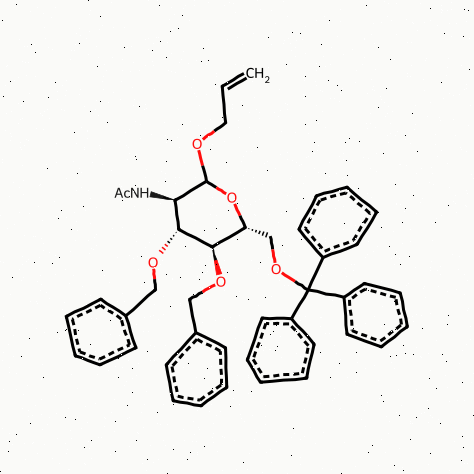 C=CCOC1O[C@H](COC(c2ccccc2)(c2ccccc2)c2ccccc2)[C@@H](OCc2ccccc2)[C@H](OCc2ccccc2)[C@H]1NC(C)=O